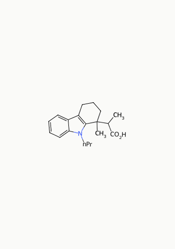 CCCn1c2c(c3ccccc31)CCCC2(C)C(C)C(=O)O